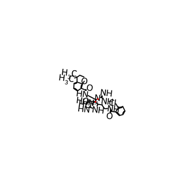 CC1(C)CCOc2c(C(=O)NC3CN4C(=N)NC(CNC(=O)c5ccccc5Cl)C5NC(=N)N[C@@]54C3(O)O)cccc21